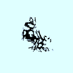 Cc1nc(NC(C)c2cc(N)cc(C(F)(F)F)c2)c2cc(C3CCC(O)CC3)c3c(c2n1)CCC3